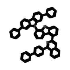 c1ccc(-c2ccc(-c3nc(-c4cccc5oc6c(-n7c8cc(-c9ccccc9)ccc8c8ccc(-c9ccccc9)cc87)cccc6c45)cc4ccccc34)cc2)cc1